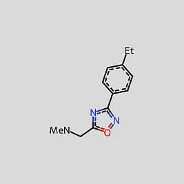 CCc1ccc(-c2noc(CNC)n2)cc1